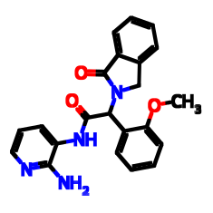 COc1ccccc1C(C(=O)Nc1cccnc1N)N1Cc2ccccc2C1=O